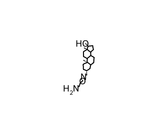 C[C@]12CC[C@H](/C=N/OCCN)CC1CCC1C2CC[C@@]2(C)C1CC[C@@H]2O